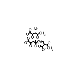 CC(=O)CC(=O)C(=O)[O-].CC(=O)CC(=O)C(=O)[O-].CCC(C(C)=O)C(=O)[O-].[Al+3]